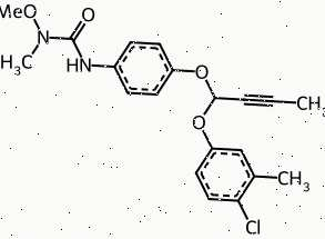 CC#CC(Oc1ccc(NC(=O)N(C)OC)cc1)Oc1ccc(Cl)c(C)c1